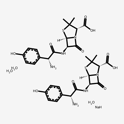 CC1(C)S[C@@H]2[C@H](NC(=O)[C@H](N)c3ccc(O)cc3)C(=O)N2[C@H]1C(=O)O.CC1(C)S[C@@H]2[C@H](NC(=O)[C@H](N)c3ccc(O)cc3)C(=O)N2[C@H]1C(=O)O.O.O.O.[NaH]